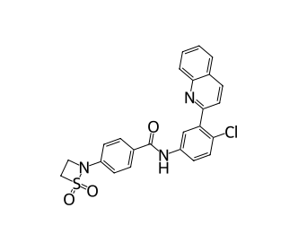 O=C(Nc1ccc(Cl)c(-c2ccc3ccccc3n2)c1)c1ccc(N2CCS2(=O)=O)cc1